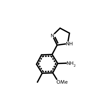 COc1c(C)ccc(C2=NCCN2)c1N